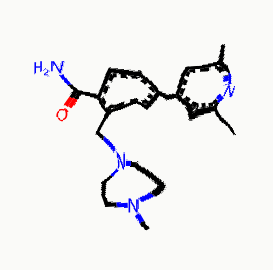 Cc1cc(-c2ccc(C(N)=O)c(CN3CCN(C)CC3)c2)cc(C)n1